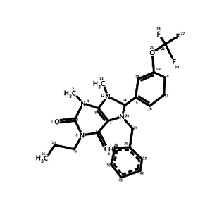 C=C1C2=C(N(C)C(=O)N1CCC)N(C)C(C1=CCCC(OC(F)(F)F)=C1)N2Cc1ccccc1